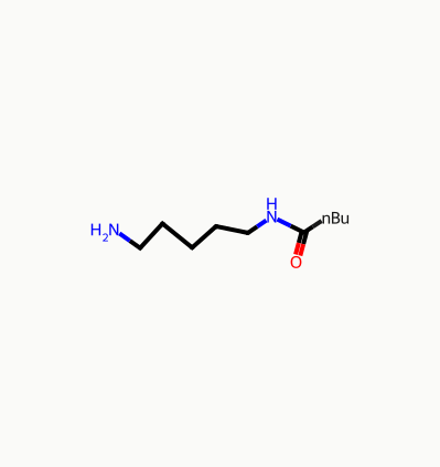 [CH2]CCCC(=O)NCCCCCN